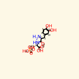 N[C@@H](Cc1ccc(O)c(O)c1)C(=O)N[C@@H](COP(=O)(O)O)C(=O)O